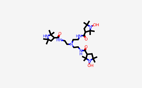 CC1(C)CC(C(=O)NCCN(CCNC(=O)C2CC(C)(C)N(O)C2(C)C)CCNC(=O)C2CC(C)(C)N(O)C2(C)C)C(C)(C)N1